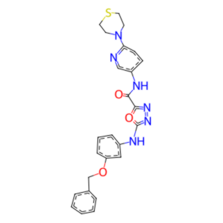 O=C(Nc1ccc(N2CCSCC2)nc1)c1nnc(Nc2cccc(OCc3ccccc3)c2)o1